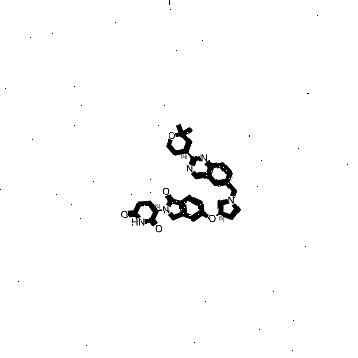 CC1(C)C[C@@H](c2ncc3cc(CN4CC[C@H](Oc5ccc6c(c5)CN([C@H]5CCC(=O)NC5=O)C6=O)C4)ccc3n2)CCO1